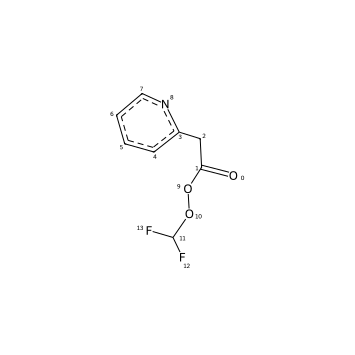 O=C(Cc1ccccn1)OOC(F)F